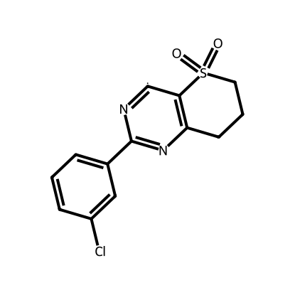 O=S1(=O)CCCc2nc(-c3cccc(Cl)c3)n[c]c21